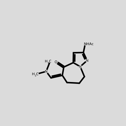 CC(=O)Nc1cc2n(n1)CCCC(=CN(C)C)C2=O